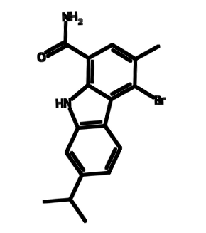 Cc1cc(C(N)=O)c2[nH]c3cc(C(C)C)ccc3c2c1Br